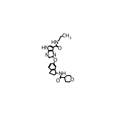 CCCNC(=O)c1c[nH]c2ncc(Oc3ccc4c(c3)[C@H](NC(=O)C3CCOCC3)CC4)nc12